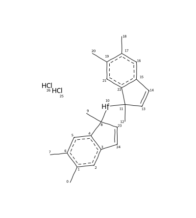 Cc1cc2c(cc1C)[C](C)([Hf][C]1(C)C=Cc3cc(C)c(C)cc31)C=C2.Cl.Cl